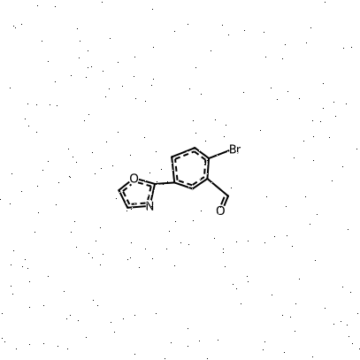 O=Cc1cc(-c2ncco2)ccc1Br